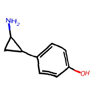 NC1CC1c1ccc(O)cc1